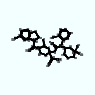 CC1CC(CC(=O)N(c2ccccc2F)C2CCCC(F)(F)C2)(C(=O)O)CCN1C(=O)N1CCc2ccc(F)cc21